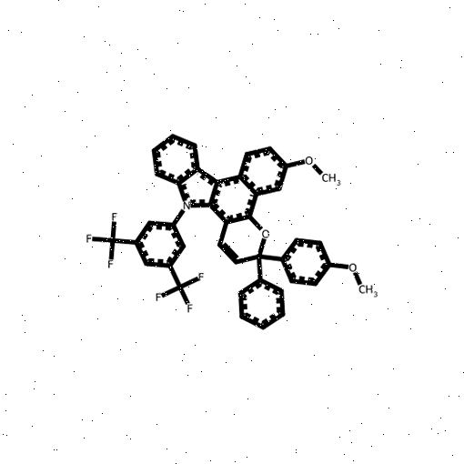 COc1ccc(C2(c3ccccc3)C=Cc3c(c4cc(OC)ccc4c4c5ccccc5n(-c5cc(C(F)(F)F)cc(C(F)(F)F)c5)c34)O2)cc1